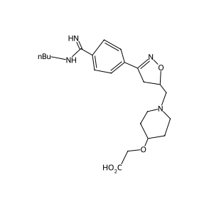 CCCCNC(=N)c1ccc(C2=NOC(CN3CCC(OCC(=O)O)CC3)C2)cc1